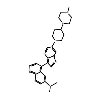 CN1CCN(C2CCN(c3cnc4c(-c5ccnc6ccc(N(C)C)cc56)cnn4c3)CC2)CC1